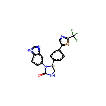 O=C1NC[C@H](c2ccc(-c3cnc(C(F)(F)F)s3)cc2)N1c1ccc2[nH]cnc2c1